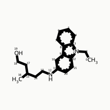 CCn1c2ccccc2c2cc(NCCC(C)CCO)ccc21